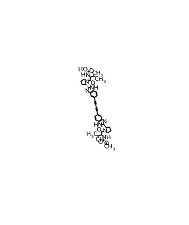 COC(=O)N[C@H](C(=O)N1CCCC1c1nc2cc(C#CC#Cc3ccc4[nH]c([C@@H]5CCCN5C(=O)[C@@H](NC(=O)O)C(C)C)nc4c3)ccc2[nH]1)C(C)C